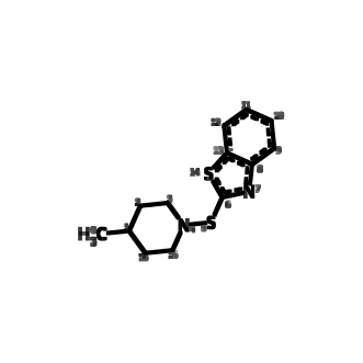 CC1CCN(Sc2nc3ccccc3s2)CC1